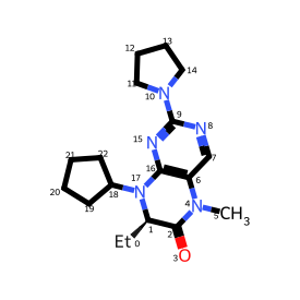 CC[C@@H]1C(=O)N(C)c2cnc(N3CCCC3)nc2N1C1CCCC1